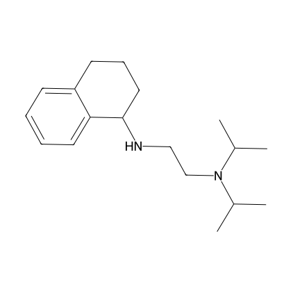 CC(C)N(CCNC1CCCc2ccccc21)C(C)C